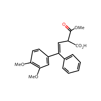 COC(=O)C(C=C(c1ccccc1)c1ccc(OC)c(OC)c1)C(=O)O